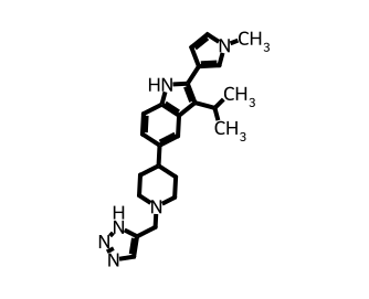 CC(C)c1c(-c2ccn(C)c2)[nH]c2ccc(C3CCN(Cc4cnn[nH]4)CC3)cc12